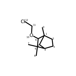 CC12CCC(C1)C(C)(C)C2OCCl